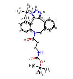 CC(C)(C)OC(=O)NCCC(=O)N1Cc2ccccc2-c2nnn(C(C)(C)C)c2-c2ccccc21